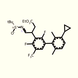 CCOC(=O)CC(/C=N/[S@+]([O-])C(C)(C)C)c1c(F)c(-c2c(C)ccc(C3CC3)c2C)cc(C(F)(F)F)c1F